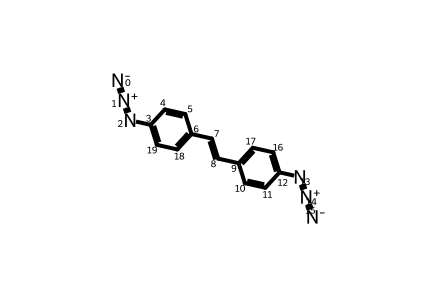 [N-]=[N+]=Nc1ccc(C=Cc2ccc(N=[N+]=[N-])cc2)cc1